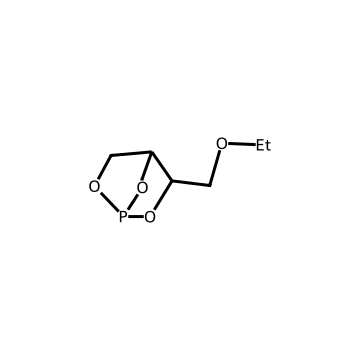 CCOCC1OP2OCC1CO2